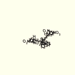 C1CCC(NC2CCCCC2)CC1.O=C(CCCCCNc1ccc([N+](=O)[O-])cc1[N+](=O)[O-])N[C@@H](CCCCNc1ccc([N+](=O)[O-])cc1[N+](=O)[O-])C(=O)O